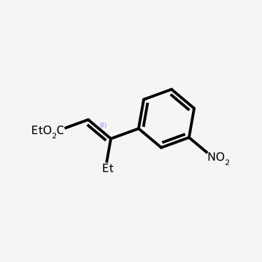 CCOC(=O)/C=C(\CC)c1cccc([N+](=O)[O-])c1